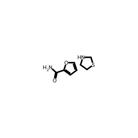 C1CSCN1.NC(=O)c1ccco1